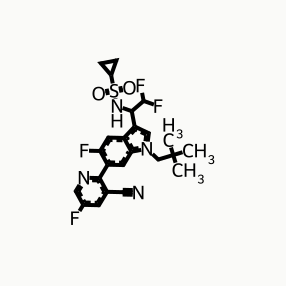 CC(C)(C)Cn1cc(C(NS(=O)(=O)C2CC2)C(F)F)c2cc(F)c(-c3ncc(F)cc3C#N)cc21